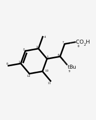 CC1=CC(C)C(C(CC(=O)O)C(C)(C)C)C(C)C1